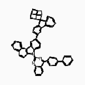 c1ccc(-c2ccc(-c3nc(-n4c5ccc(-c6ccc7c(c6)-c6ccccc6C76C7CC8CC9CC6C897)cc5c5c6ccccc6ccc54)nc4ccccc34)cc2)cc1